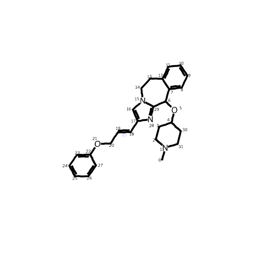 CN1CCC(OC2c3ccccc3CCn3cc(/C=C/COc4ccccc4)nc32)CC1